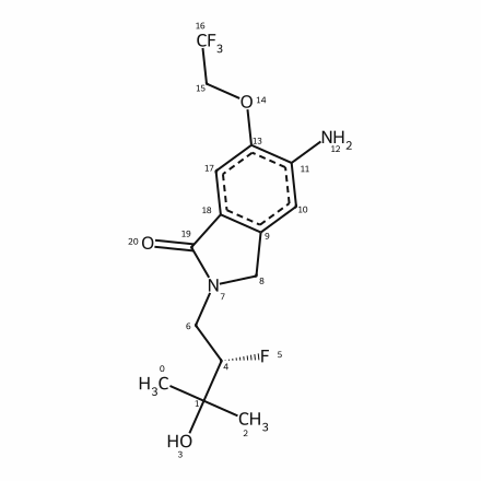 CC(C)(O)[C@@H](F)CN1Cc2cc(N)c(OCC(F)(F)F)cc2C1=O